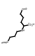 CCCCCCCCCCNC(CCCC=O)C(=O)O